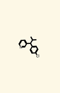 CC(C)C(c1ccc(Cl)cc1)c1cccnc1